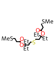 CCC(CC)(CCSCCC(CC)(CC)OC(=O)CCSC)OC(=O)CCSC